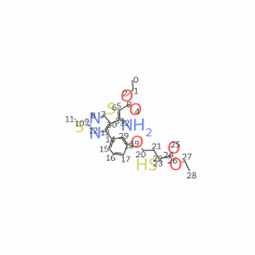 CCOC(=O)c1sc2nc(SC)nc(-c3cccc(OCCC(S)C(=O)OCC)c3)c2c1N